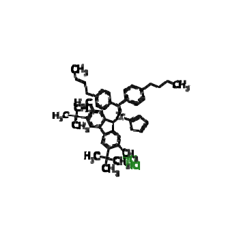 CCCCc1ccc([C](c2ccc(CCCC)cc2)=[Zr]([C]2=CC=CC2)[CH]2c3cc(C)c(C(C)(C)C)cc3-c3cc(C(C)(C)C)c(C)cc32)cc1.Cl.Cl